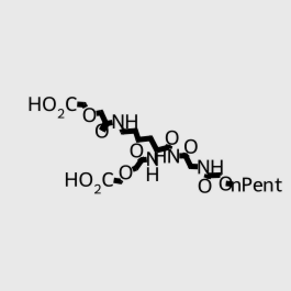 CCCCCOCC(=O)NCC(=O)NC(=O)C(CCCCNC(=O)COCC(=O)O)NC(=O)COCC(=O)O